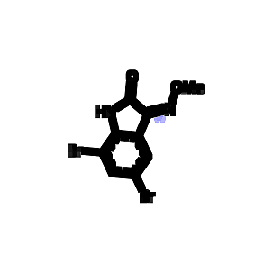 CO/N=C1\C(=O)Nc2c(Br)cc(Br)cc21